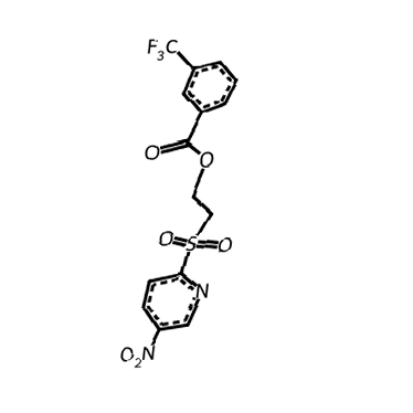 O=C(OCCS(=O)(=O)c1ccc([N+](=O)[O-])cn1)c1cccc(C(F)(F)F)c1